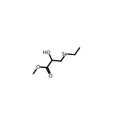 CC[Se]CC(O)C(=O)OC